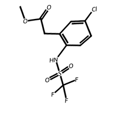 COC(=O)Cc1cc(Cl)ccc1NS(=O)(=O)C(F)(F)F